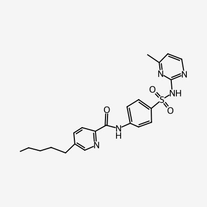 CCCCCc1ccc(C(=O)Nc2ccc(S(=O)(=O)Nc3nccc(C)n3)cc2)nc1